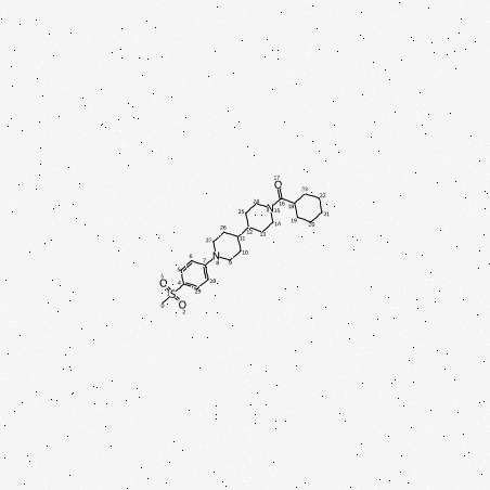 CS(=O)(=O)c1ccc(N2CCC(C3CCN(C(=O)C4CCCCC4)CC3)CC2)cc1